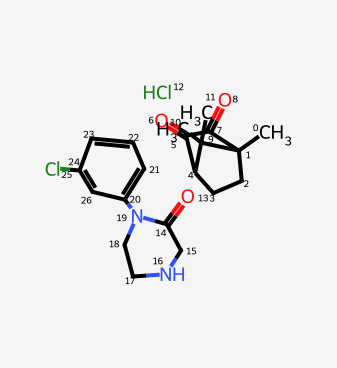 CC12CCC(C(=O)C1=O)C2(C)C.Cl.O=C1CNCCN1c1cccc(Cl)c1